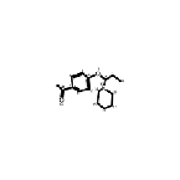 CCC(Oc1ccc(C(C)=O)cc1)N1CCCCC1